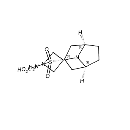 NS(=O)(=O)[C@@H]1C[C@H]2CC[C@@H](C1)N2C1CN(C(=O)O)C1